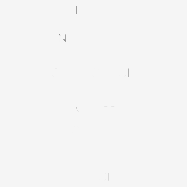 CCC1CN(CCOc2ccc([C@@H]3Oc4ccc(O)cc4C(C)=C3c3ccc(O)c(O)c3)cc2)C1